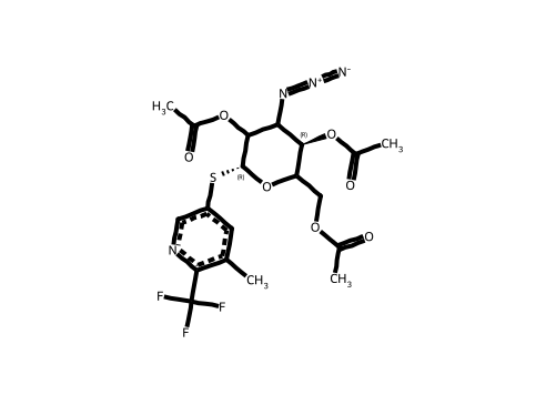 CC(=O)OCC1O[C@H](Sc2cnc(C(F)(F)F)c(C)c2)C(OC(C)=O)C(N=[N+]=[N-])[C@H]1OC(C)=O